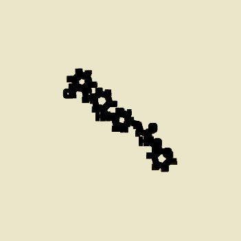 O=C(C=Cc1cnc(N[C@@H]2CCCN(Cc3ccccc3Cl)C2)cn1)NOC1CCCCO1